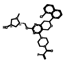 C=C(F)C(=O)N1CCN(c2nc(OC[C@@H]3C[C@@H](O)CN3C)nc3c2COC(c2cccc4cccc(Cl)c24)C3)CC1